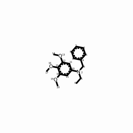 CCN(Cc1ccccc1)c1cc(OC)c(OC)c(OC)c1